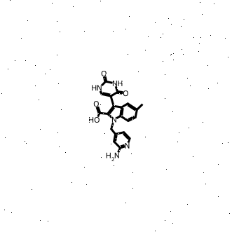 Cc1ccc2c(c1)c(-c1c[nH]c(=O)[nH]c1=O)c(C(=O)O)n2Cc1ccnc(N)c1